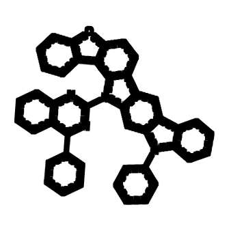 c1ccc(-c2nc(-n3c4cc5c(cc4c4ccc6oc7ccccc7c6c43)c3ccccc3n5-c3ccccc3)nc3ccccc23)cc1